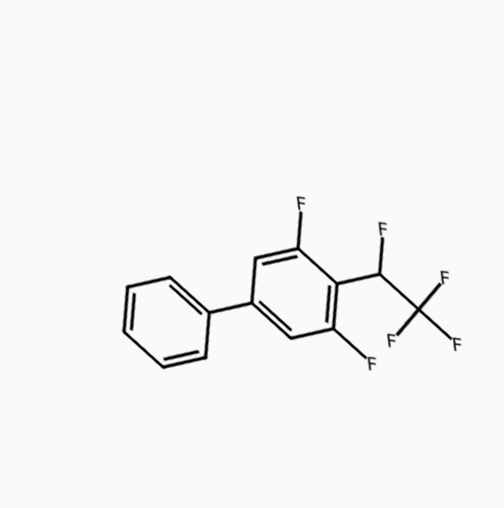 Fc1cc(-c2ccccc2)cc(F)c1C(F)C(F)(F)F